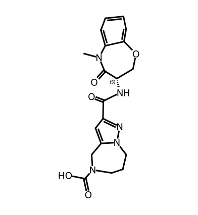 CN1C(=O)[C@@H](NC(=O)c2cc3n(n2)CCCN(C(=O)O)C3)COc2ccccc21